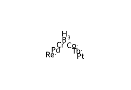 B.[Co].[Cr].[Pd].[Pt].[Re].[Tb]